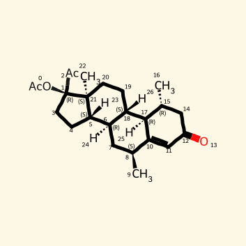 CC(=O)O[C@]1(C(C)=O)CC[C@H]2[C@@H]3C[C@H](C)C4=CC(=O)C[C@@H](C)[C@@H]4[C@H]3CC[C@@]21C